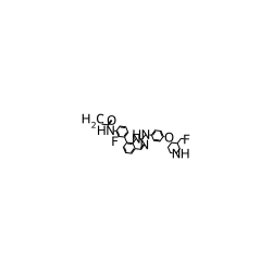 C=CC(=O)Nc1cccc(-c2cccc3cnc(Nc4ccc(OC5CCNCC5CF)cc4)nc23)c1F